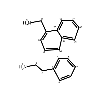 NCCc1ccccc1.NCc1cccc2ccccc12